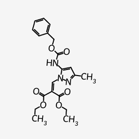 CCOC(=O)C(=Cn1nc(C)cc1NC(=O)OCc1ccccc1)C(=O)OCC